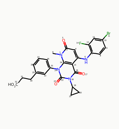 Cn1c(=O)cc(Nc2ccc(Br)cc2F)c2c(=O)n(C3CC3)c(=O)n(-c3cccc(CCC(=O)O)c3)c21